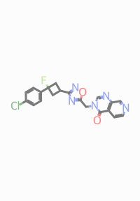 O=c1c2ccncc2ncn1Cc1nc(C2CC(F)(c3ccc(Cl)cc3)C2)no1